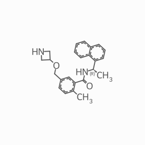 Cc1ccc(COC2CNC2)cc1C(=O)N[C@H](C)c1cccc2ccccc12